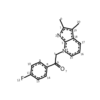 Cc1nc2n(CC(=O)c3ccc(F)cc3)cccc-2c1C